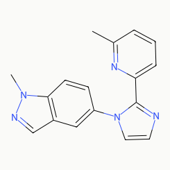 Cc1cccc(-c2nccn2-c2ccc3c(cnn3C)c2)n1